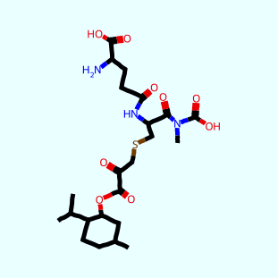 CC1CCC(C(C)C)C(OC(=O)C(=O)CSCC(NC(=O)CCC(N)C(=O)O)C(=O)N(C)C(=O)O)C1